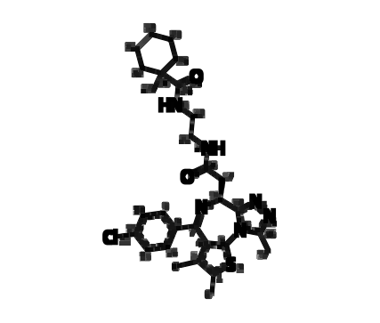 Cc1sc2c(c1C)C(c1ccc(Cl)cc1)=N[C@@H](CC(=O)NCCNC(=O)C1(C)CCCCC1)c1nnc(C)n1-2